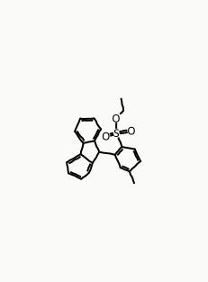 CCOS(=O)(=O)c1ccc(C)cc1C1c2ccccc2-c2ccccc21